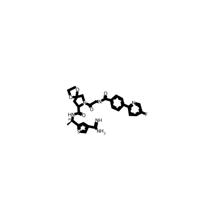 C[C@@H](NC(=O)C1CC2(CN1C(=O)CNC(=O)c1ccc(-c3ccc(F)cn3)cc1)OCCO2)c1cc(C(=N)N)cs1